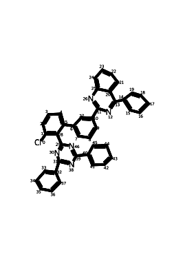 Clc1cccc(-c2cccc(-c3nc(-c4ccccc4)c4ccccc4n3)c2)c1-c1nc(-c2ccccc2)nc(-c2ccccc2)n1